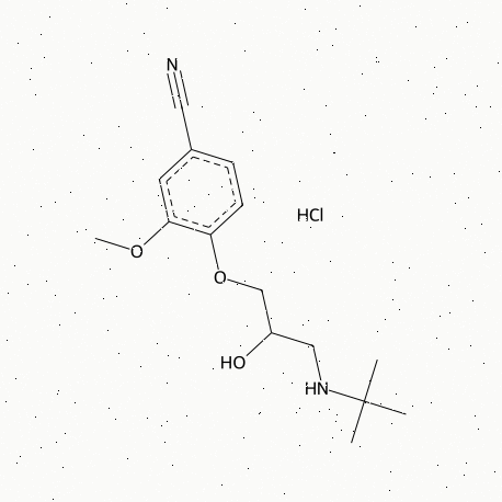 COc1cc(C#N)ccc1OCC(O)CNC(C)(C)C.Cl